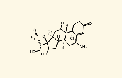 CC(=O)O[C@]1(C(=O)CO)C(C)C[C@H]2[C@@H]3CC(C)C4=CC(=O)CC[C@]4(C)[C@H]3C(O)C[C@@]21C